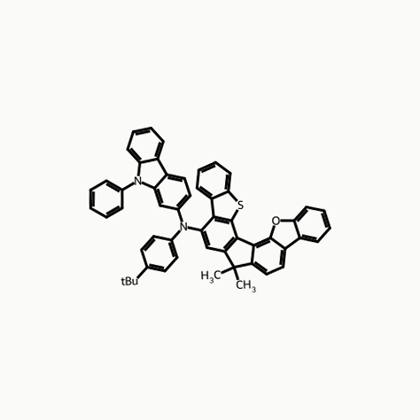 CC(C)(C)c1ccc(N(c2ccc3c4ccccc4n(-c4ccccc4)c3c2)c2cc3c(c4sc5ccccc5c24)-c2c(ccc4c2oc2ccccc24)C3(C)C)cc1